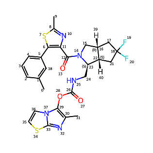 Cc1cccc(-c2sc(C)nc2C(=O)N2C[C@@H]3CC(F)(F)C[C@@H]3[C@H]2CNC(=O)Oc2c(C)nc3sccn23)c1